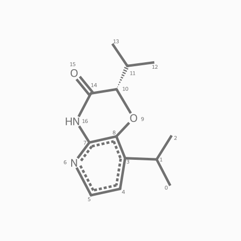 CC(C)c1ccnc2c1O[C@@H](C(C)C)C(=O)N2